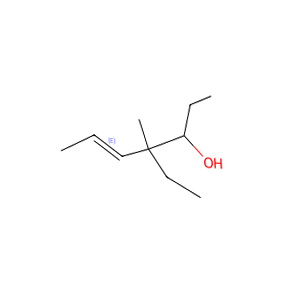 C/C=C/C(C)(CC)C(O)CC